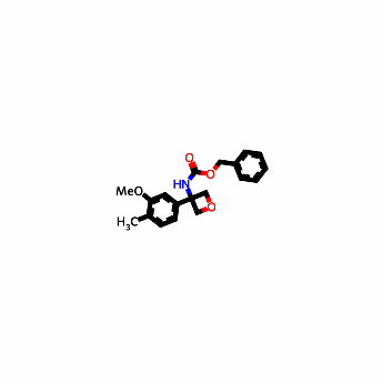 COc1cc(C2(NC(=O)OCc3ccccc3)COC2)ccc1C